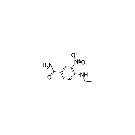 CCNc1ccc(C(N)=O)cc1[N+](=O)[O-]